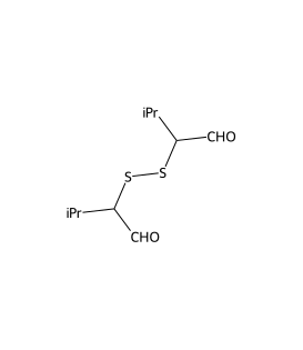 CC(C)C(C=O)SSC(C=O)C(C)C